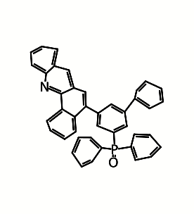 O=P(c1ccccc1)(c1ccccc1)c1cc(-c2ccccc2)cc(-c2cc3cc4ccccc4nc3c3ccccc23)c1